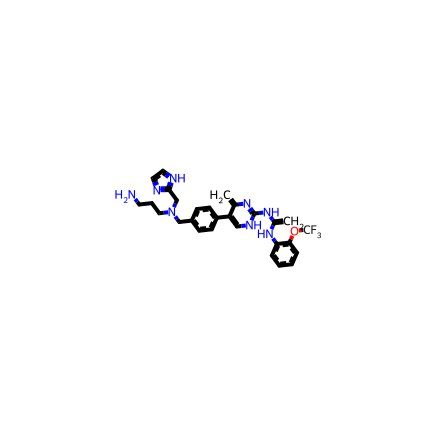 C=C(NC1=NC(=C)C(c2ccc(CN(CCCN)Cc3ncc[nH]3)cc2)=CN1)Nc1ccccc1OC(F)(F)F